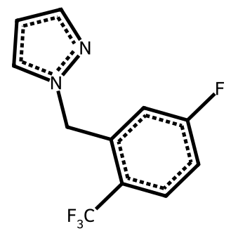 Fc1ccc(C(F)(F)F)c(Cn2cccn2)c1